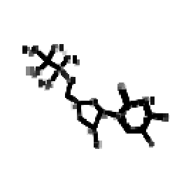 CC(C)(C)[Si](C)(C)OC[C@@H]1C[C@H](Cl)[C@H](n2cc(F)c(=O)[nH]c2=O)O1